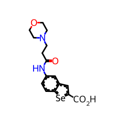 O=C(CCN1CCOCC1)Nc1ccc2[se]c(C(=O)O)cc2c1